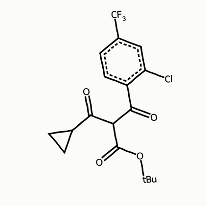 CC(C)(C)OC(=O)C(C(=O)c1ccc(C(F)(F)F)cc1Cl)C(=O)C1CC1